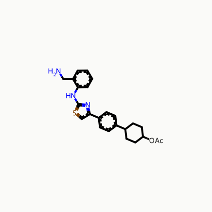 CC(=O)OC1CCC(c2ccc(-c3csc(Nc4ccccc4CN)n3)cc2)CC1